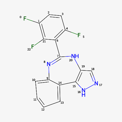 Fc1ccc(F)c(C2=Nc3ccccc3-c3[nH]ncc3N2)c1F